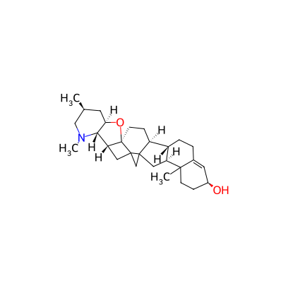 C[C@H]1C[C@H]2O[C@@]34CC[C@H]5[C@@H]6CCC7=C[C@@H](O)CCC7(C)[C@H]6CC56CC63C[C@@H]4[C@@H]2N(C)C1